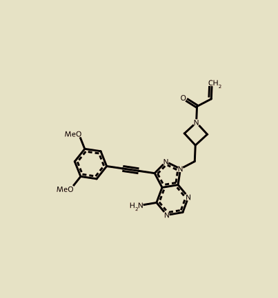 C=CC(=O)N1CC(Cn2nc(C#Cc3cc(OC)cc(OC)c3)c3c(N)ncnc32)C1